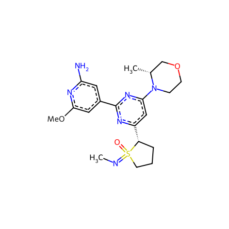 CN=S1(=O)CCC[C@H]1c1cc(N2CCOC[C@H]2C)nc(-c2cc(N)nc(OC)c2)n1